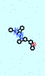 c1ccc(-c2nc3c4c(nc(-n5c6ccccc6c6cc(-c7ccc8oc9ccccc9c8c7)ccc65)nc4n2)-c2ccccc2-3)cc1